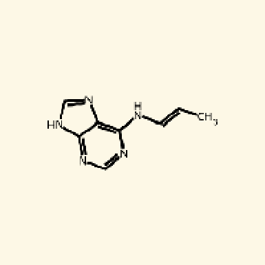 CC=CNc1ncnc2[nH]cnc12